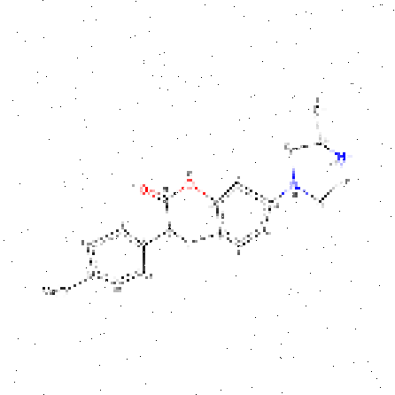 COc1ccc(C2Cc3ccc(N4CCN[C@@H](C)C4)cc3OC2=O)cc1